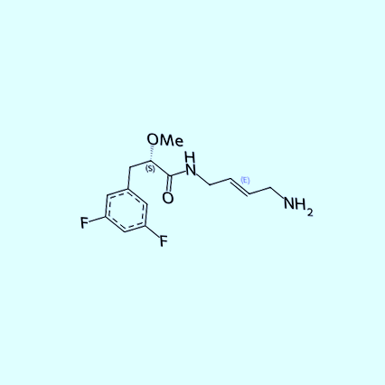 CO[C@@H](Cc1cc(F)cc(F)c1)C(=O)NC/C=C/CN